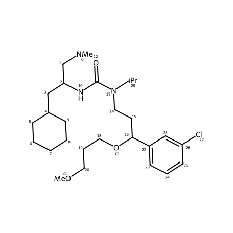 CNCC(CC1CCCCC1)NC(=O)N(CCC(OCCCOC)c1cccc(Cl)c1)C(C)C